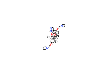 C[C@]12CC[C@H](OCCN3CCCC3)C[C@H]1CC[C@@H]1[C@@H]2CC[C@]2(C)[C@@](OCCN3CCCC3)(c3ccnnc3)CC[C@]12O